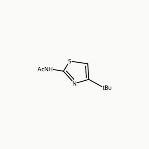 [CH2]C(=O)Nc1nc(C(C)(C)C)cs1